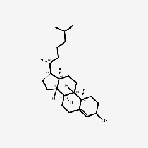 CC(C)CCC[C@@H](C)[C@H]1CC[C@H]2[C@@H]3CCC4=CC(O)CC[C@]4(C)[C@H]3CC[C@]12C